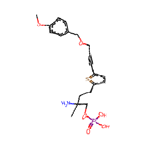 COc1ccc(COCC#Cc2ccc(CCC(C)(N)COP(=O)(O)O)s2)cc1